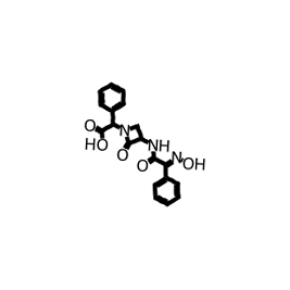 O=C(NC1CN(C(C(=O)O)c2ccccc2)C1=O)C(=NO)c1ccccc1